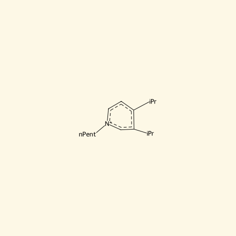 CCCCC[n+]1ccc(C(C)C)c(C(C)C)c1